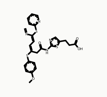 C=N/C(=C\C=C(/CC(=O)Nc1ncc(CCC(=O)O)s1)Sc1ccc(OC)cc1)Sc1ccccn1